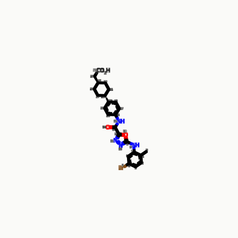 Cc1ccc(Br)cc1Nc1nnc(C(=O)Nc2ccc([C@H]3CC[C@H](CC(=O)O)CC3)cc2)o1